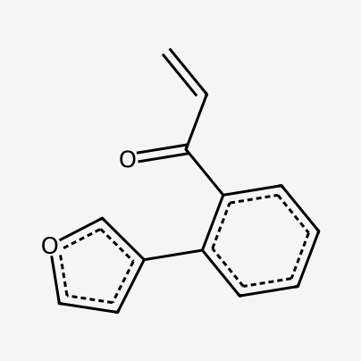 C=CC(=O)c1ccccc1-c1ccoc1